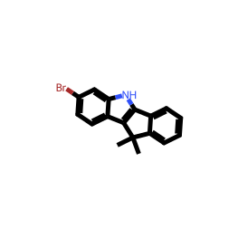 CC1(C)c2ccccc2-c2[nH]c3cc(Br)ccc3c21